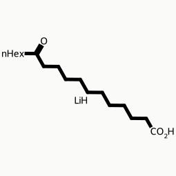 CCCCCCC(=O)CCCCCCCCCCC(=O)O.[LiH]